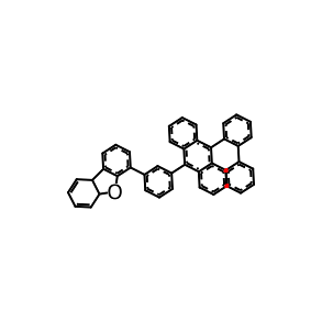 C1=CC2Oc3c(-c4cccc(-c5c6ccccc6c(-c6ccccc6-c6ccccc6)c6ccccc56)c4)cccc3C2C=C1